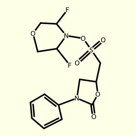 O=C1OC(CS(=O)(=O)ON2C(F)COCC2F)CN1c1ccccc1